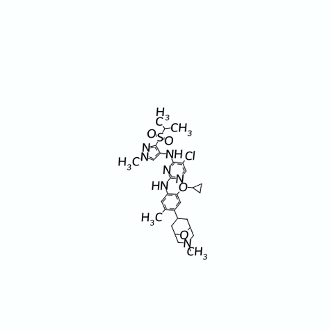 Cc1cc(Nc2ncc(Cl)c(Nc3cn(C)nc3S(=O)(=O)C(C)C)n2)c(OC2CC2)cc1C1CC2CN(C)CC(C1)O2